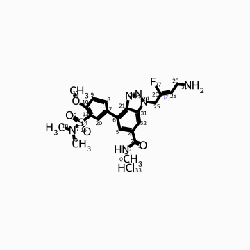 CNC(=O)c1cc(-c2ccc(OC)c(S(=O)(=O)N(C)C)c2)c2nnn(C/C(F)=C/CN)c2c1.Cl